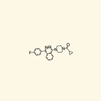 O=C(C1CC1)N1CCN(c2nnc(-c3ccc(F)cc3)c3ccccc23)CC1